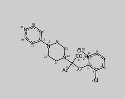 CC(=O)C(Oc1c(Cl)cccc1Cl)(C(=O)O)N1CCN(c2ccncc2)CC1